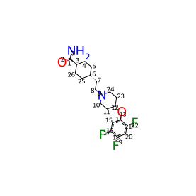 NC(=O)[C@H]1CC[C@H](CCN2CCC(Oc3cc(F)c(F)cc3F)CC2)CC1